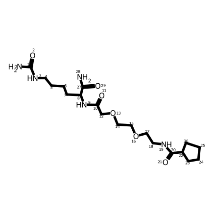 NC(=O)NCCCCC(NC(=O)COCCOCCNC(=O)C1CCCC1)C(N)=O